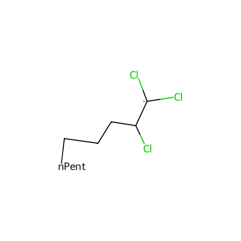 CCCCCCCCC(Cl)[C](Cl)Cl